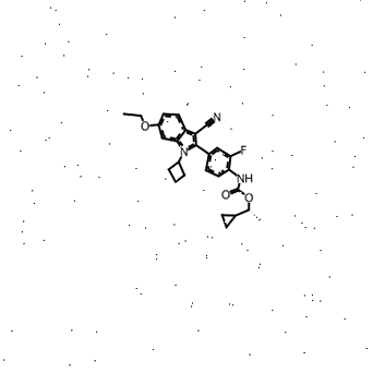 CCOc1ccc2c(C#N)c(-c3ccc(NC(=O)O[C@H](C)C4CC4)c(F)c3)n(C3CCC3)c2c1